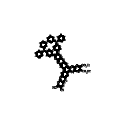 CCOC(=O)c1nc2nc3c4cc5nc6nc(C#N)c(C#N)nc6nc5cc4c4cc5nc6nc(-c7ccc(N(c8ccccc8)c8ccccc8)cc7)c(-c7ccc(N(c8ccccc8)c8ccccc8)cc7)nc6nc5cc4c3nc2nc1C(=O)OCC